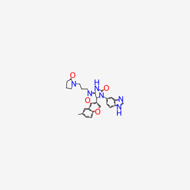 Cc1ccc2occ(C3C(=NCCCN4CCCC4=O)NC(=O)N3c3ccc4[nH]cnc4c3)c(=O)c2c1